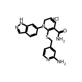 Cl.NC(=O)C1=C(SCc2ccnc(N)c2)N(c2ccc3cn[nH]c3c2)CC=C1